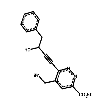 CCOC(=O)c1cc(CC(C)C)c(C#CC(O)Cc2ccccc2)nn1